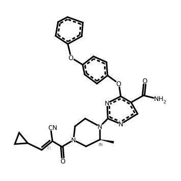 C[C@H]1CN(C(=O)/C(C#N)=C/C2CC2)CCN1c1ncc(C(N)=O)c(Oc2ccc(Oc3ccccc3)cc2)n1